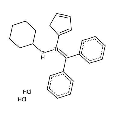 C1=CC[C]([Ti]([PH]C2CCCCC2)=[C](c2ccccc2)c2ccccc2)=C1.Cl.Cl